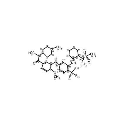 COc1ccc(C(=O)N(C)C2CCN(C)CC2)cc1Nc1ncc(C(F)(F)F)c(N[C@@H]2CCCC[C@H]2N(C)S(C)(=O)=O)n1